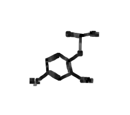 COc1cc(C)ccc1OC(=O)C(C)(C)C